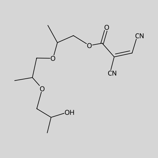 CC(O)COC(C)COC(C)COC(=O)C(C#N)=CC#N